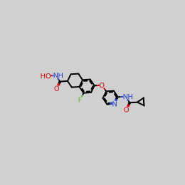 O=C(NO)C1CCc2cc(Oc3ccnc(NC(=O)C4CC4)c3)cc(F)c2C1